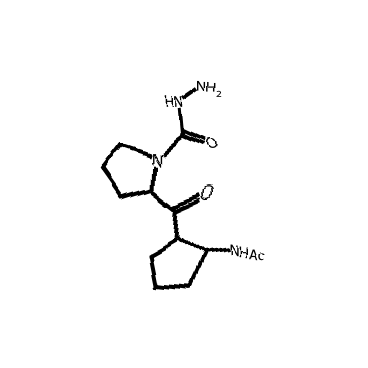 CC(=O)NC1CCCC1C(=O)C1CCCN1C(=O)NN